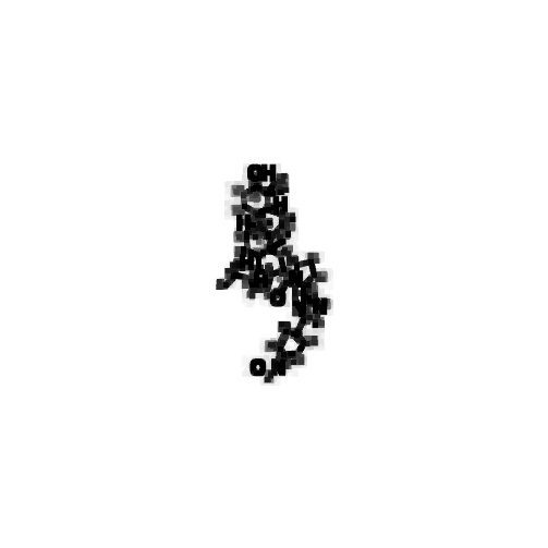 C=C(C)[C@@H]1CC[C@]2(C(=O)N3CCCC3c3ncc(-c4ccc([N+](=O)[O-])cc4)[nH]3)CC[C@]3(C)[C@H](CC[C@@H]4[C@@]5(C)CC[C@H](O)C(C)(C)[C@@H]5CC[C@]43C)[C@@H]12